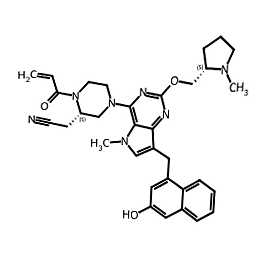 C=CC(=O)N1CCN(c2nc(OC[C@@H]3CCCN3C)nc3c(Cc4cc(O)cc5ccccc45)cn(C)c23)C[C@@H]1CC#N